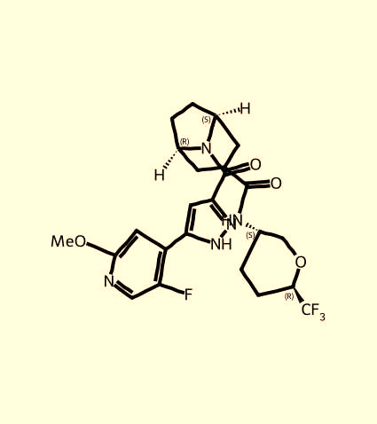 COc1cc(-c2cc(C(=O)N3[C@@H]4CC[C@H]3CC(C(=O)N[C@H]3CC[C@H](C(F)(F)F)OC3)C4)n[nH]2)c(F)cn1